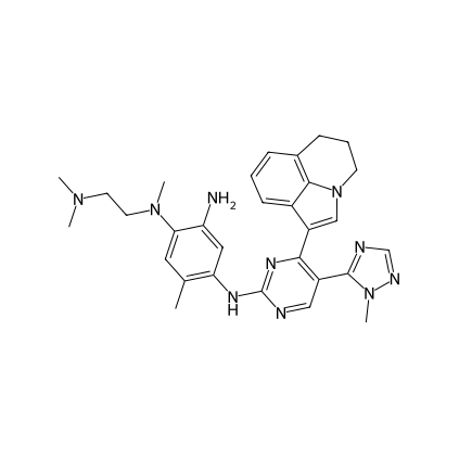 Cc1cc(N(C)CCN(C)C)c(N)cc1Nc1ncc(-c2ncnn2C)c(-c2cn3c4c(cccc24)CCC3)n1